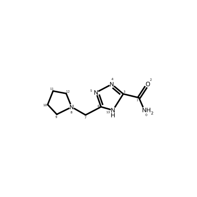 NC(=O)c1nnc(CN2CCCC2)[nH]1